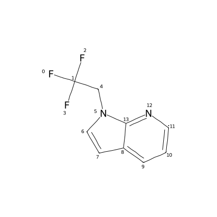 FC(F)(F)Cn1ccc2cc[c]nc21